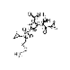 COCCN(C1CC1)S(=O)(=O)c1cc(C(N)=O)c(N(O)C(=O)C2CC2)s1